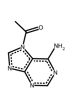 CC(=O)n1cnc2ncnc(N)c21